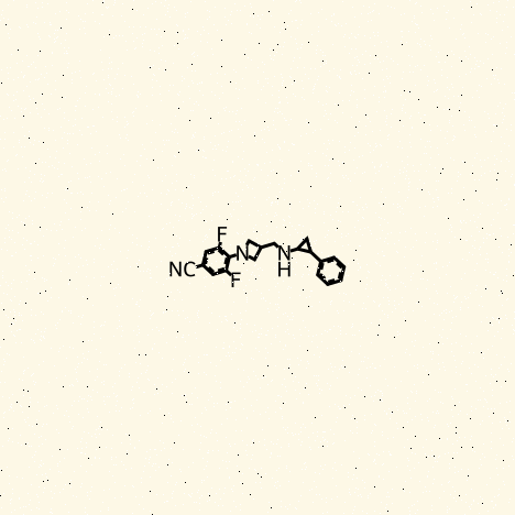 N#Cc1cc(F)c(N2CC(CNC3CC3c3ccccc3)C2)c(F)c1